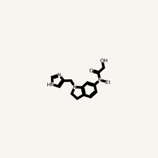 CCN(C(=O)CO)c1ccc2c(c1)N(Cc1c[nH]cn1)CC2